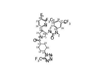 CN(C(=O)N(C)[C@@H]1CN(C(=O)C2CCC(n3nnnc3C(F)(F)F)CC2)C[C@@H]1c1ccc(F)cn1)c1cc(C(F)(F)F)cc(C(F)(F)F)c1